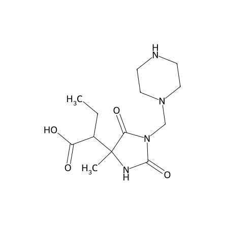 CCC(C(=O)O)C1(C)NC(=O)N(CN2CCNCC2)C1=O